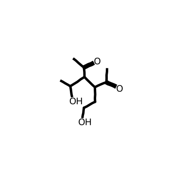 CC(=O)C(CCO)C(C(C)=O)C(C)O